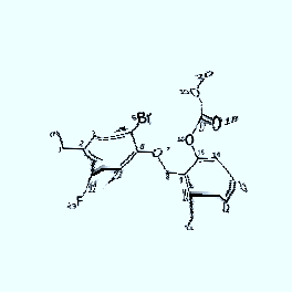 CCc1cc(Br)c(OCc2c(C)cccc2OC(=O)OC)cc1F